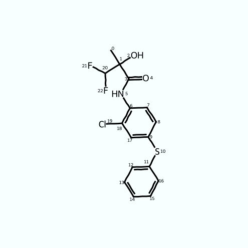 CC(O)(C(=O)Nc1ccc(Sc2ccccc2)cc1Cl)C(F)F